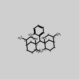 Cc1ccccc1C(C12CC(CCC1C)C(C)CP2)C12CC(CCC1C)C(C)CP2